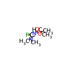 CN(C)[C@H]1CN(C(=O)OC(C)(C)C)C[C@@H]1F